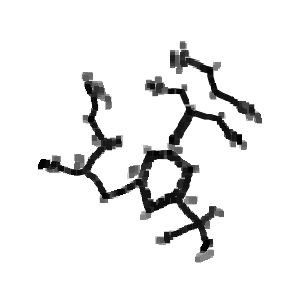 CCC(=O)CC.CCCC.CCNC(C)Cc1cccc(C(F)(F)F)c1